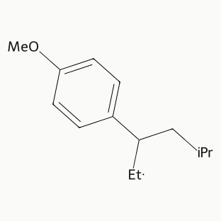 C[CH]C(CC(C)C)c1ccc(OC)cc1